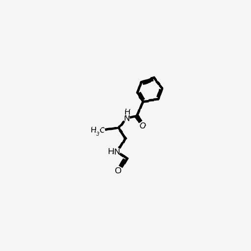 CC(CNC=O)NC(=O)c1ccccc1